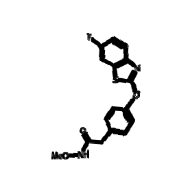 CONC(=O)Cc1ccc(Oc2nc3ccc(F)cc3s2)cc1